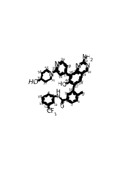 Cc1ccc(C(=O)Nc2cccc(C(F)(F)F)c2)cc1-c1cc2cnc(N)nc2c(-c2ccnc(N3CCC(O)CC3)c2)c1O